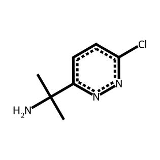 CC(C)(N)c1ccc(Cl)nn1